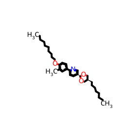 CCCCCCCCCCOc1ccc(-c2ccc([C@H]3OC[C@H](CCCCCCCC)CO3)cn2)cc1C